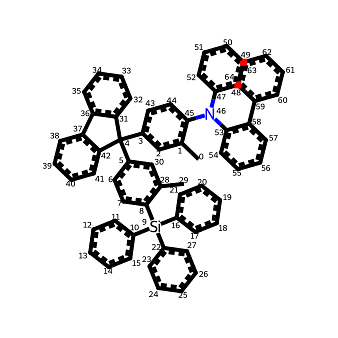 Cc1cc(C2(c3ccc([Si](c4ccccc4)(c4ccccc4)c4ccccc4)c(C)c3)c3ccccc3-c3ccccc32)ccc1N(c1ccccc1)c1ccccc1-c1ccccc1